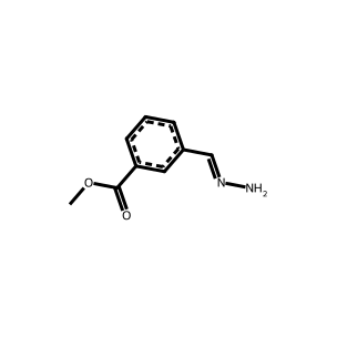 COC(=O)c1cccc(/C=N/N)c1